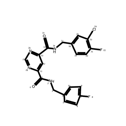 O=C(NCc1ccc(F)cc1)c1cc(C(=O)NCc2ccc(F)c(Cl)c2)ncn1